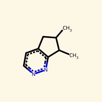 CC1Cc2ccnnc2C1C